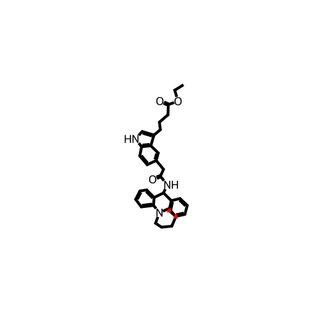 CCOC(=O)CCCc1c[nH]c2ccc(CC(=O)NC(c3ccccc3)c3ccccc3N3CCCCC3)cc12